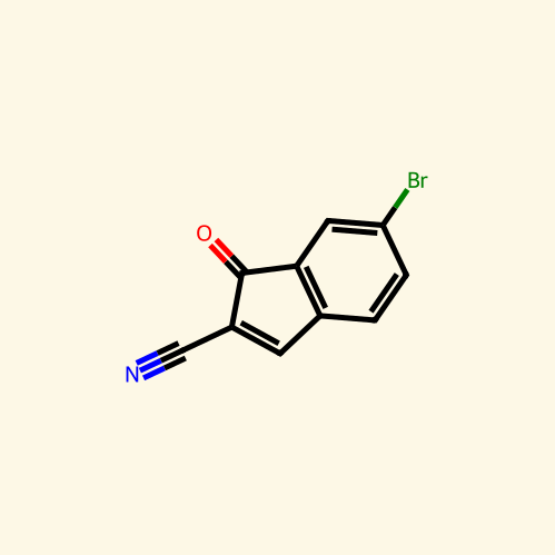 N#CC1=Cc2ccc(Br)cc2C1=O